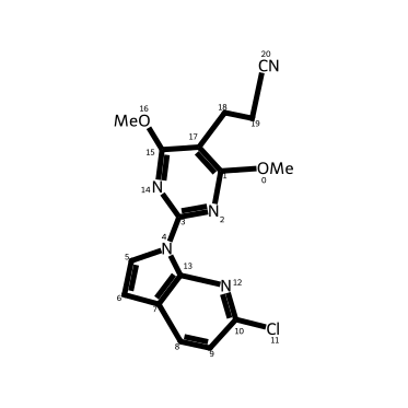 COc1nc(-n2ccc3ccc(Cl)nc32)nc(OC)c1CCC#N